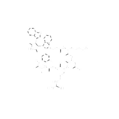 C[C@H](NC(=O)[C@H](Cc1ccccc1)NC(=O)[C@H](CCCNC(=N)N)NC(=O)[C@H](CC(N)=O)NC(=O)[C@H](CCCCN)NC(=O)CCn1cc(C2=C(c3cn(C)c4ccccc34)C(=O)NC2=O)c2ccccc21)C(N)=O